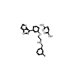 Fc1cccc(CNCCOc2cccc(-c3noc4ccsc34)c2)c1.O=C(O)/C=C\C(=O)O